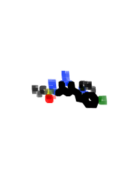 Cn1c(C2=CNCC(CN[S+]([O-])C(F)(F)F)=C2)cc2ccc(Cl)cc21